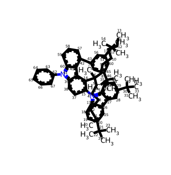 CCCCCCC(C)(CCCCCC)c1c(-n2c3ccc(C(C)(C)C)cc3c3cc(C(C)(C)C)ccc32)ccc2c1c1c(-c3cc(C(C)(C)C)cc(C(C)(C)C)c3)cccc1n2-c1ccccc1